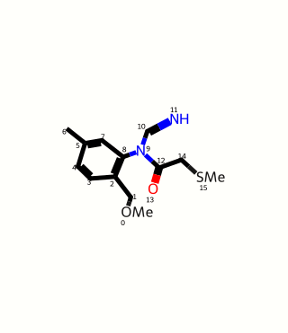 COCc1ccc(C)cc1N(C=N)C(=O)CSC